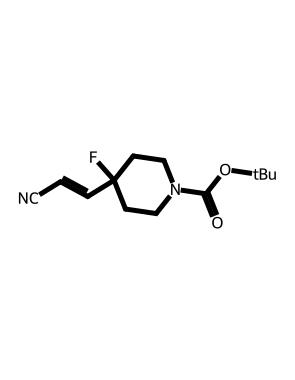 CC(C)(C)OC(=O)N1CCC(F)(C=CC#N)CC1